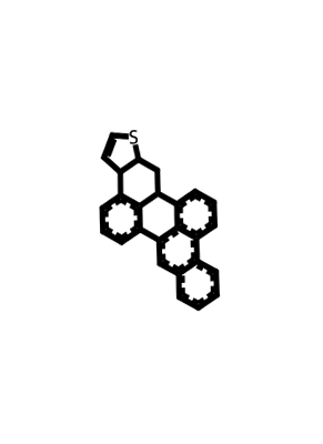 C1=CC2c3cccc4c3C(CC2S1)c1cccc2c1c-4cc1ccccc12